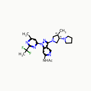 CC(=O)Nc1cc2c(cn1)c(N1C[C@@H](C)[C@@H](N3CCCC3)C1)nn2-c1cc(C)nc(C(C)(F)F)n1